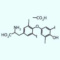 CC(=O)O.NC(Cc1cc(I)c(Oc2cc(I)c(O)c(I)c2)c(I)c1)C(=O)O